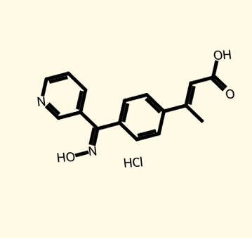 CC(=CC(=O)O)c1ccc(C(=NO)c2cccnc2)cc1.Cl